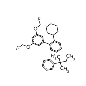 CCC(C)(C)c1ccccc1.FCOc1cc(OCF)cc(-c2ccccc2C2CCCCC2)c1